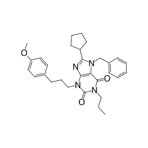 CCCn1c(=O)c2c(nc(C3CCCC3)n2Cc2ccccc2)n(CCCc2ccc(OC)cc2)c1=O